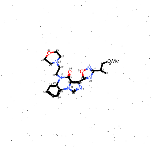 COCC(C)c1noc(-c2ncn3c2c(=O)n(CCN2CCOCC2)c2ccccc23)n1